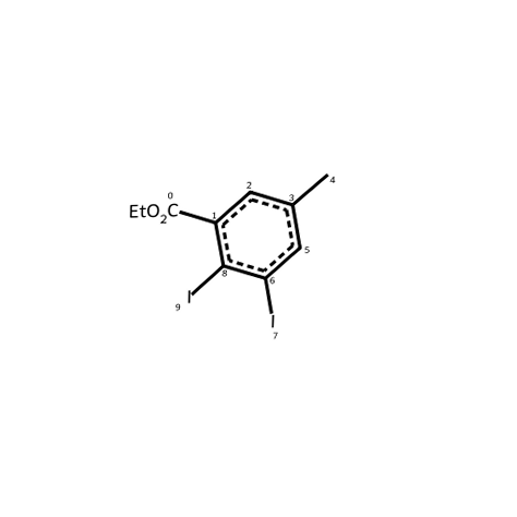 CCOC(=O)c1cc(C)cc(I)c1I